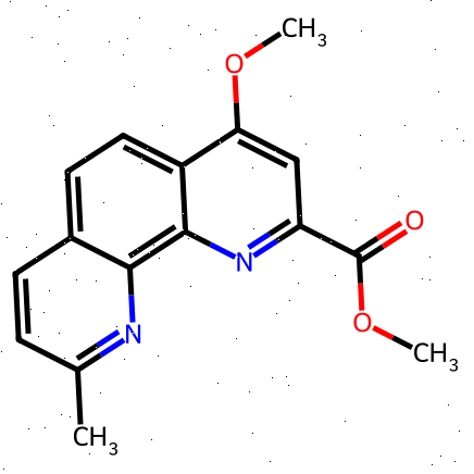 COC(=O)c1cc(OC)c2ccc3ccc(C)nc3c2n1